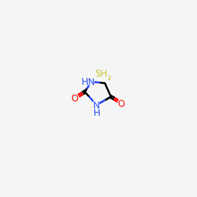 O=C1CNC(=O)N1.S